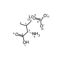 CC(C)[C@H](N)C(=O)O.O=[N+]([O-])[O-].[Li+]